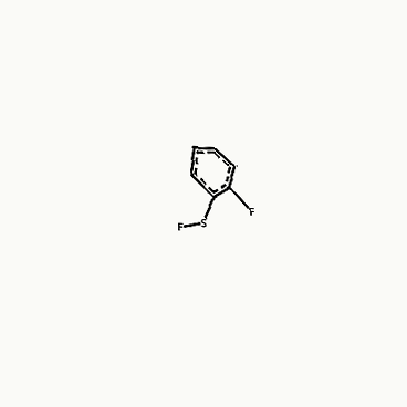 FSc1ccc[c]c1F